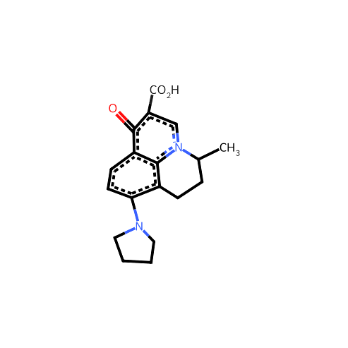 CC1CCc2c(N3CCCC3)ccc3c(=O)c(C(=O)O)cn1c23